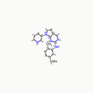 COc1ccc(C)c(Nc2ncc3ccn(-c4cccnc4)c3n2)c1